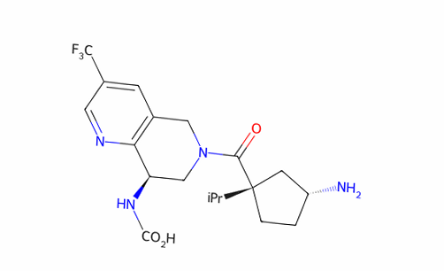 CC(C)[C@]1(C(=O)N2Cc3cc(C(F)(F)F)cnc3[C@H](NC(=O)O)C2)CC[C@@H](N)C1